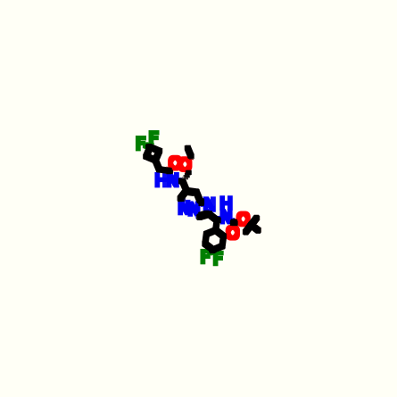 CCOC[C@@H](NC(=O)CC1CC(F)(F)C1)c1cnn2cc(C(NC(=O)OC(C)(C)C)C3CCC(F)(F)CC3)nc2c1